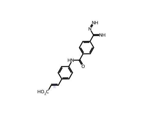 N=NC(=N)c1ccc(C(=O)Nc2ccc(/C=C/C(=O)O)cc2)cc1